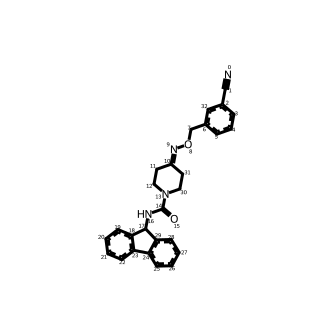 N#Cc1cccc(CON=C2CCN(C(=O)NC3c4ccccc4-c4ccccc43)CC2)c1